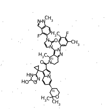 Cc1cc(-n2nc3c(c2-n2ccn(-c4ccc5c(cnn5C)c4F)c2=O)[C@H](C)N(C(=O)c2cn4cc([C@H]5CCOC(C)(C)C5)ccc4c2C2(C4=NOC(O)N4)CC2)CC3)cc(C)c1F